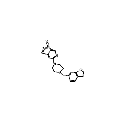 c1cc2c(cc1CN1CCN(c3cc4cn[nH]c4cn3)CC1)OCC2